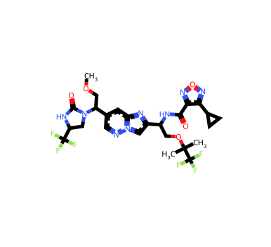 COCC(c1cnn2cc(C(COC(C)(C)C(F)(F)F)NC(=O)c3nonc3C3CC3)nc2c1)N1CC(C(F)(F)F)NC1=O